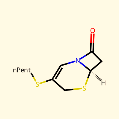 CCCCCSC1=CN2C(=O)C[C@H]2SC1